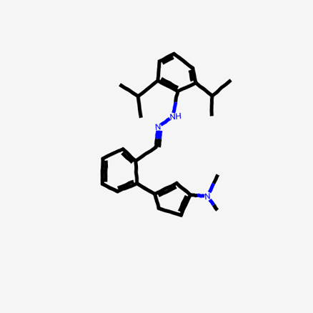 CC(C)c1cccc(C(C)C)c1N/N=C/c1ccccc1C1=CC(N(C)C)=CC1